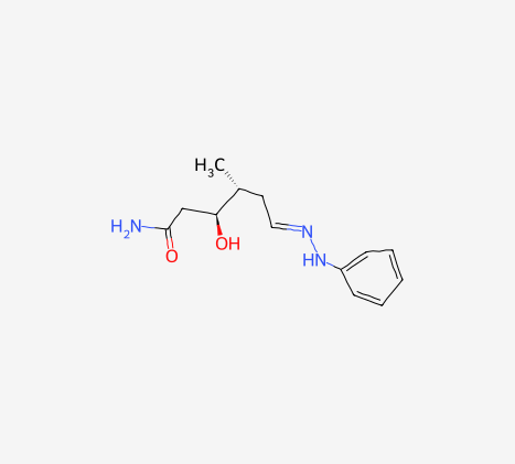 C[C@H](C/C=N/Nc1ccccc1)[C@@H](O)CC(N)=O